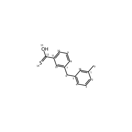 Cc1cccc(Cc2cccc(C(O)=S)c2)c1